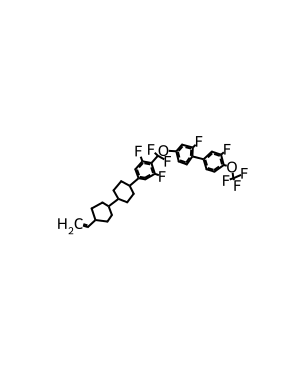 C=CC1CCC(C2CCC(c3cc(F)c(C(F)(F)Oc4ccc(-c5ccc(OC(F)(F)F)c(F)c5)c(F)c4)c(F)c3)CC2)CC1